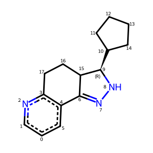 c1cnc2c(c1)C1=NN[C@H](C3CCCC3)C1CC2